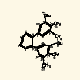 Cc1cc(-c2ccccc2-c2cc(C)c(O)c(C(C)(C)C)c2)cc(C(C)(C)C)c1O